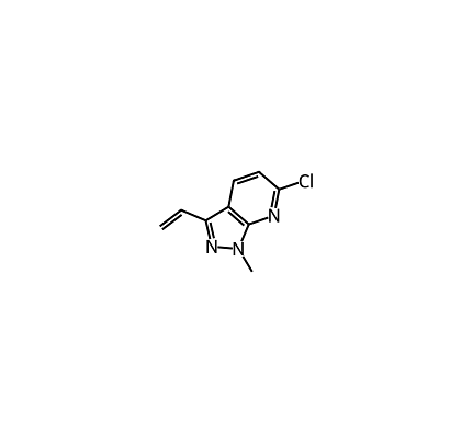 C=Cc1nn(C)c2nc(Cl)ccc12